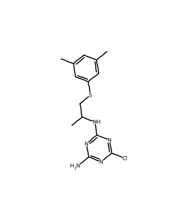 Cc1cc(C)cc(SCC(C)Nc2nc(N)nc(Cl)n2)c1